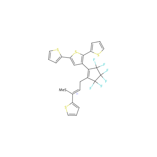 CS/C(=C\CC1=C(c2cc(-c3cccs3)sc2-c2cccs2)C(F)(F)C(F)(F)C1(F)F)c1cccs1